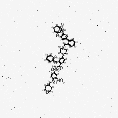 O=C(NS(=O)(=O)c1ccc(NCC2CCOCC2)c([N+](=O)[O-])c1)c1ccc(N2CCN(Cc3ccccc3-c3ccc(CN4[C@@H]5CCC[C@H]4CC5)s3)CC2)cc1Oc1ccccc1